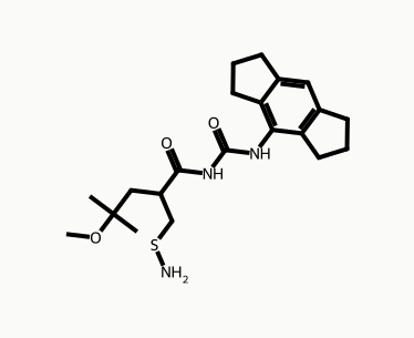 COC(C)(C)CC(CSN)C(=O)NC(=O)Nc1c2c(cc3c1CCC3)CCC2